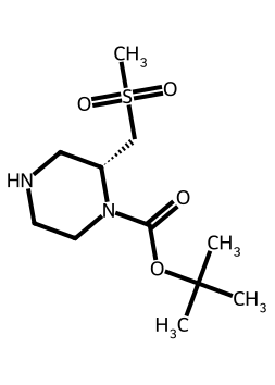 CC(C)(C)OC(=O)N1CCNC[C@@H]1CS(C)(=O)=O